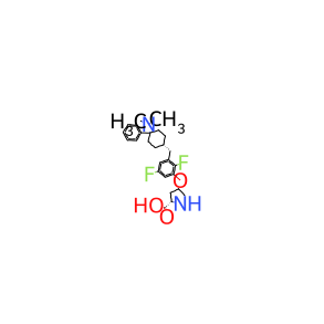 CN(C)[C@]1(c2ccccc2)CC[C@@H](Cc2cc(F)cc(O[C@@H]3CN[C@H](C(=O)O)C3)c2F)CC1